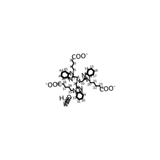 O.O=C([O-])CCCCn1c(CN(Cc2nc3ccccc3n2CCCCC(=O)[O-])Cc2nc3ccccc3n2CCCCC(=O)[O-])nc2ccccc21.[K+].[K+].[K+]